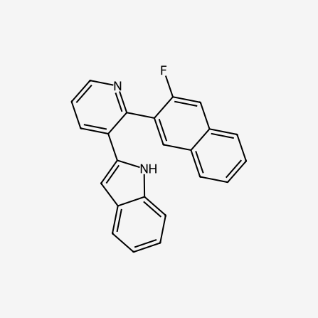 Fc1cc2ccccc2cc1-c1ncccc1-c1cc2ccccc2[nH]1